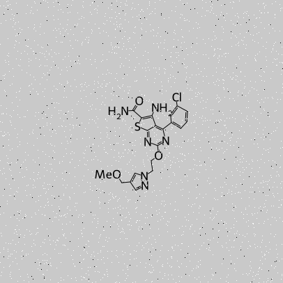 COCc1cnn(CCOc2nc(-c3cccc(Cl)c3)c3c(N)c(C(N)=O)sc3n2)c1